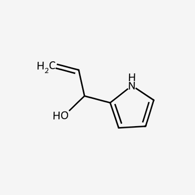 C=CC(O)c1ccc[nH]1